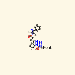 CCCCCNC(=O)Nc1c(C)cccc1CCC[S+]([O-])n1cnc(-c2ccccc2)c1C